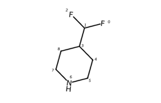 FC(F)C1CCNCC1